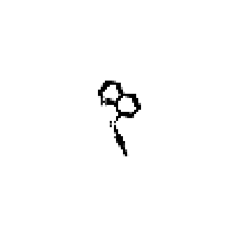 CC#COc1cccc2cccnc12